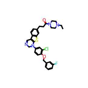 CCN1CCN(C(=O)CCc2ccc3c4c(sc3c2)N(c2ccc(OCc3cccc(F)c3)c(Cl)c2)CN=C4)CC1